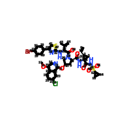 C=C[C@@H]1C[C@]1(NC(=O)[C@@H]1C[C@@H](Oc2ncc(OC)c3ccc(Cl)cc23)CN1C(=O)[C@@H](Nc1nc(-c2ccc(Br)cc2)cs1)C(=C)C)C(=O)NS(=O)(=O)C1CC1